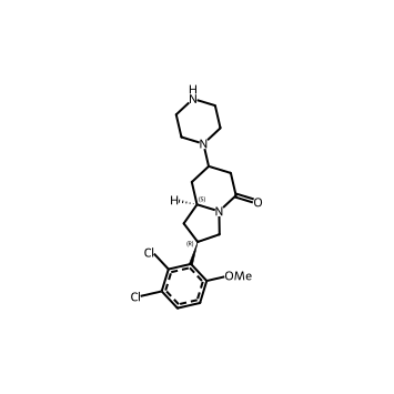 COc1ccc(Cl)c(Cl)c1[C@H]1C[C@H]2CC(N3CCNCC3)CC(=O)N2C1